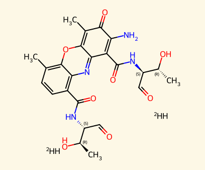 Cc1c2oc3c(C)ccc(C(=O)N[C@H](C=O)[C@@H](C)O)c3nc-2c(C(=O)N[C@H](C=O)[C@@H](C)O)c(N)c1=O.[2HH].[2HH]